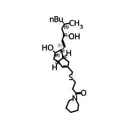 CCCC[C@H](C)C[C@H](O)/C=C/[C@@H]1[C@H]2CC(CSCCC(=O)N3CCCCC3)=C[C@H]2C[C@H]1O